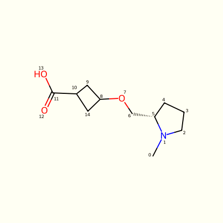 CN1CCC[C@H]1COC1CC(C(=O)O)C1